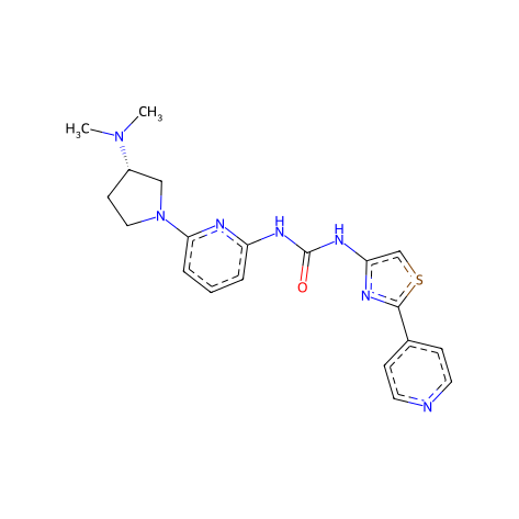 CN(C)[C@H]1CCN(c2cccc(NC(=O)Nc3csc(-c4ccncc4)n3)n2)C1